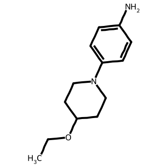 CCOC1CCN(c2ccc(N)cc2)CC1